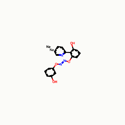 Oc1cccc(ON=NOc2cccc(O)c2-c2ccccn2)c1.[Na].[Na]